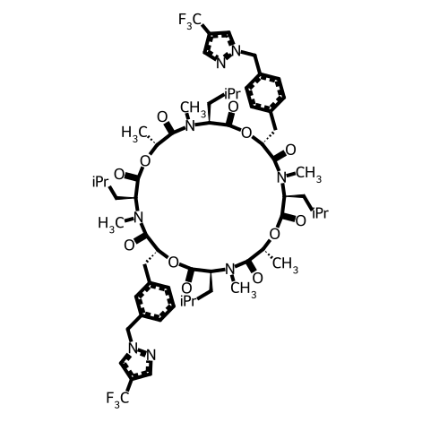 CC(C)C[C@H]1C(=O)O[C@H](Cc2cccc(Cn3cc(C(F)(F)F)cn3)c2)C(=O)N(C)[C@@H](CC(C)C)C(=O)O[C@H](C)C(=O)N(C)[C@@H](CC(C)C)C(=O)O[C@H](Cc2ccc(Cn3cc(C(F)(F)F)cn3)cc2)C(=O)N(C)[C@@H](CC(C)C)C(=O)O[C@H](C)C(=O)N1C